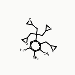 Cc1c(N)c(N)cc(C(CC2CO2)(CC2CO2)CC2CO2)c1CC1CO1